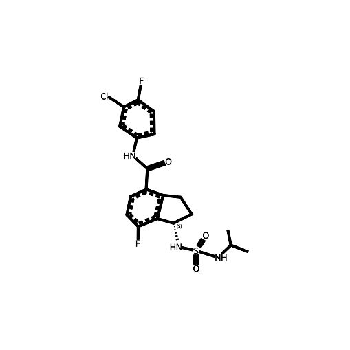 CC(C)NS(=O)(=O)N[C@H]1CCc2c(C(=O)Nc3ccc(F)c(Cl)c3)ccc(F)c21